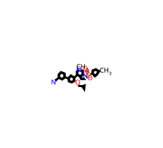 Cc1ccc(S(=O)(=O)n2ccc3c(-c4cc(-c5cccc(C#N)c5)ccc4OCC4CC4)cn(C)c(=O)c32)cc1